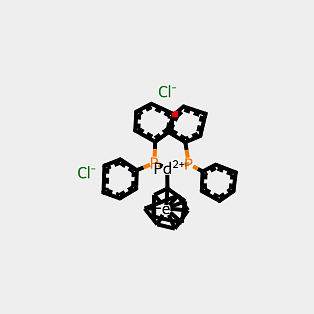 [Cl-].[Cl-].c1ccc([P](c2ccccc2)[Pd+2]([P](c2ccccc2)c2ccccc2)[C]23[CH]4[CH]5[CH]6[CH]2[Fe]56432789[CH]3[CH]2[CH]7[CH]8[CH]39)cc1